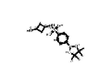 CC1(C)OB(c2ccc(S(=O)(=O)NC3CC(O)C3)cc2)OC1(C)C